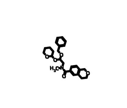 CN(CC(OCc1ccccc1)OC1CCCCO1)C(=O)c1ccc2c(c1)CCOC2